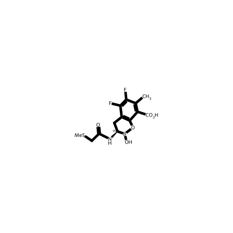 CSCC(=O)N[C@H]1Cc2c(F)c(F)c(C)c(C(=O)O)c2OB1O